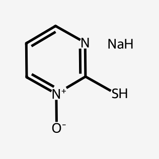 [NaH].[O-][n+]1cccnc1S